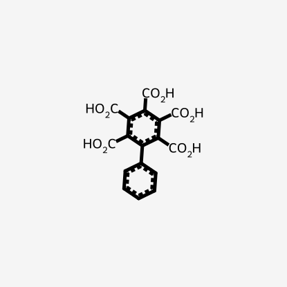 O=C(O)c1c(C(=O)O)c(C(=O)O)c(-c2ccccc2)c(C(=O)O)c1C(=O)O